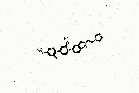 Cc1cc(OC(F)(F)F)ccc1-c1ccn(-c2ccc3c(c2)CN(CCN2CCCC2)N3)c(=O)c1.Cl